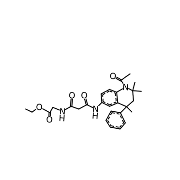 CCOC(=O)CNC(=O)CC(=O)Nc1ccc2c(c1)C(C)(c1ccccc1)CC(C)(C)N2C(C)=O